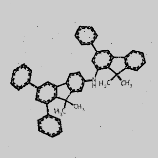 CC1(C)c2ccccc2-c2cc(-c3ccccc3)cc(Nc3ccc4c(c3)C(C)(C)c3c(-c5ccccc5)cc(-c5ccccc5)cc3-4)c21